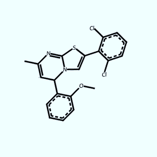 COc1ccccc1C1[C]=C(C)N=C2SC(c3c(Cl)cccc3Cl)=CN21